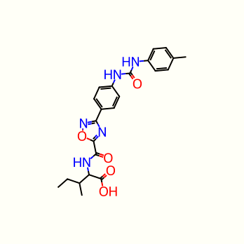 CCC(C)C(NC(=O)c1nc(-c2ccc(NC(=O)Nc3ccc(C)cc3)cc2)no1)C(=O)O